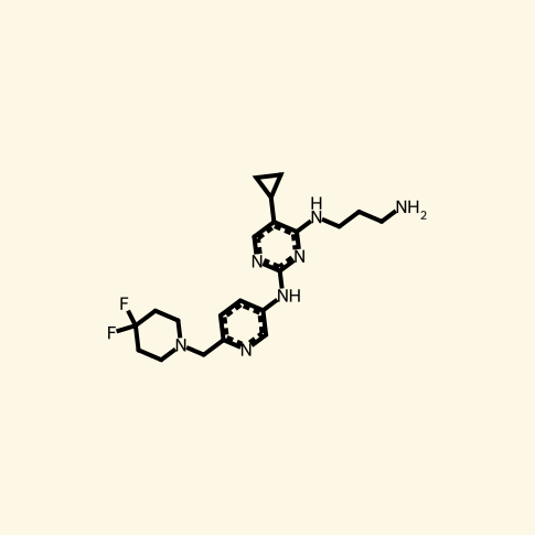 NCCCNc1nc(Nc2ccc(CN3CCC(F)(F)CC3)nc2)ncc1C1CC1